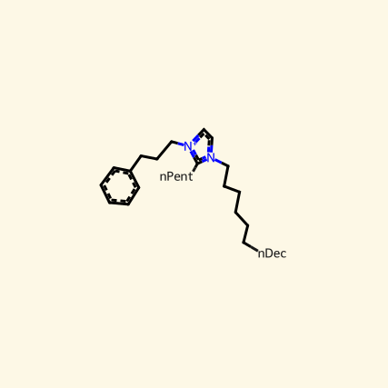 CCCCCCCCCCCCCCCCn1cc[n+](CCCc2ccccc2)c1CCCCC